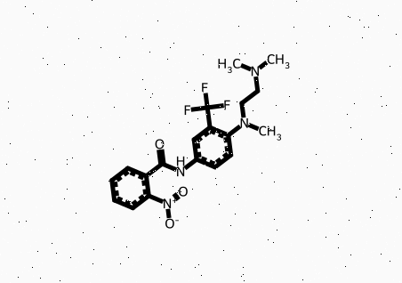 CN(C)CCN(C)c1ccc(NC(=O)c2ccccc2[N+](=O)[O-])cc1C(F)(F)F